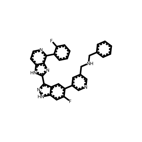 Fc1cc2[nH]nc(-c3nc4c(-c5ccccc5F)nccc4[nH]3)c2cc1-c1cncc(CNCc2ccccc2)c1